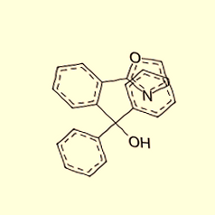 OC(c1ccccc1)(c1ccccc1)c1ccccc1-c1ncco1